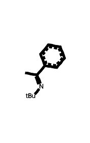 CC(=NC(C)(C)C)c1ccccc1